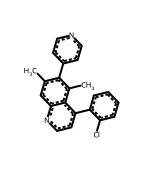 Cc1cc2nccc(-c3ccccc3Cl)c2c(C)c1-c1ccncc1